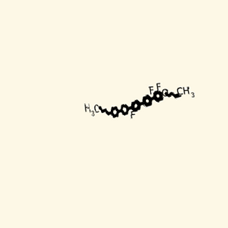 C/C=C\CCOc1ccc(-c2ccc(-c3ccc(C4CCC(C5CCC(CCCCC)CC5)CC4)c(F)c3)cc2)c(F)c1F